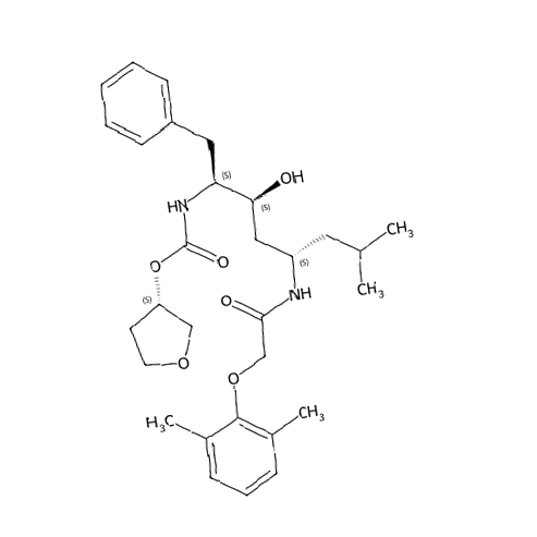 Cc1cccc(C)c1OCC(=O)N[C@@H](CC(C)C)C[C@H](O)[C@H](Cc1ccccc1)NC(=O)O[C@H]1CCOC1